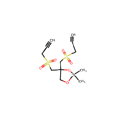 C#CCS(=O)(=O)CC1(CS(=O)(=O)CC#C)CO[Si](C)(C)O1